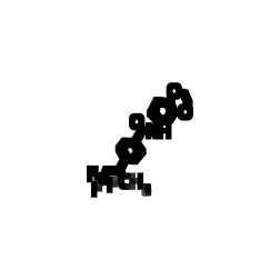 C/C(=C\C(F)(F)F)c1ccc(C(=O)Nc2ccc3c(c2)OCCO3)cc1